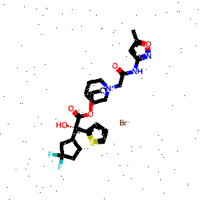 Cc1cc(NC(=O)C[N+]23CCC(CC2)C(OC(=O)[C@@](O)(c2cccs2)C2CCC(F)(F)C2)C3)no1.[Br-]